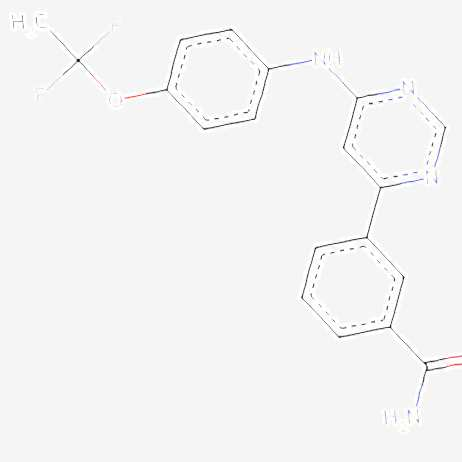 CC(F)(F)Oc1ccc(Nc2cc(-c3cccc(C(N)=O)c3)ncn2)cc1